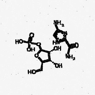 NC(=O)c1nc(N)c[nH]1.O=P(O)(O)OC1O[C@H](CO)[C@@H](O)[C@H]1O